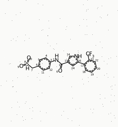 O=C(Nc1ccc(C[SH](=O)=O)cc1)c1c[nH]c(-c2ccccc2C(F)(F)F)c1